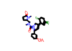 CN(CC1CCC(=O)N1C)C(=O)N1CC(c2cc(F)ccc2F)=CC1c1cccc(O)c1